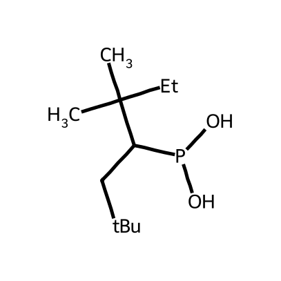 CCC(C)(C)C(CC(C)(C)C)P(O)O